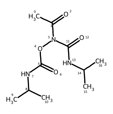 CC(=O)N(OC(=O)NC(C)C)C(=O)NC(C)C